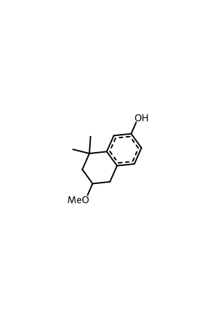 COC1Cc2ccc(O)cc2C(C)(C)C1